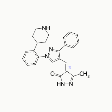 CC1=NNC(=O)/C1=C\c1cn(-c2ccccc2C2CCNCC2)nc1-c1ccccc1